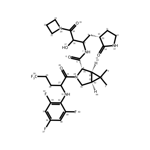 CC1(C)[C@@H]2[C@@H](C(=O)NC(C[C@@H]3CCNC3=O)C(O)C(=O)N3CCC3)N(C(=O)C(CCC(F)(F)F)Nc3c(F)cc(F)cc3F)C[C@@H]21